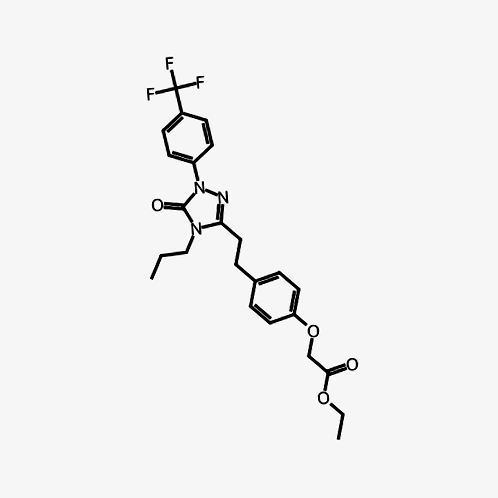 CCCn1c(CCc2ccc(OCC(=O)OCC)cc2)nn(-c2ccc(C(F)(F)F)cc2)c1=O